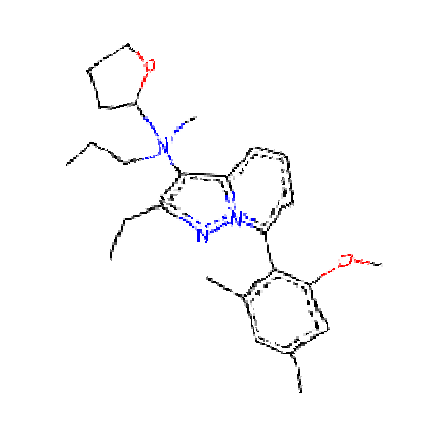 CCC[N+](C)(c1c(CC)nn2c(-c3c(C)cc(C)cc3OC)cccc12)C1CCCO1